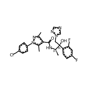 Cc1nn(-c2ccc(Cl)cc2)c(C)c1C(=O)N[C@H](C)[C@](O)(Cn1cncn1)c1ccc(F)cc1F